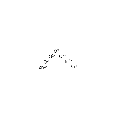 [Ni+2].[O-2].[O-2].[O-2].[O-2].[Sn+4].[Zn+2]